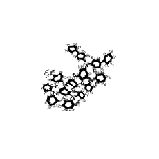 Fc1cccc(F)c1N(c1ccccc1)c1cc2c3c(c1)N(c1c(F)cccc1F)c1ccccc1B3c1cc3c(cc1N2c1ccc(C(F)(F)F)cc1)Sc1cc(N(c2ccc(-c4ccccc4)cc2)c2ccc(-c4ccccc4)cc2)cc2c1B3c1ccccc1N2c1c(F)cccc1F